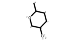 CC1CCC(C(F)(F)F)CO1